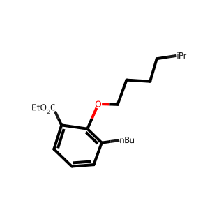 CCCCc1cccc(C(=O)OCC)c1OCCCCC(C)C